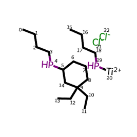 CCCCPC1CCCC(CC)(CC)C1.CCCC[PH][Ti+2].[Cl-].[Cl-]